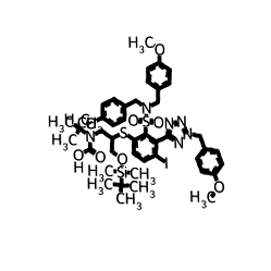 COc1ccc(CN(Cc2ccc(OC)cc2)S(=O)(=O)c2c(SC(CO[Si](C)(C)C(C)(C)C)CN(C(=O)O)C(C)(C)C)ccc(I)c2-c2nnn(Cc3ccc(OC)cc3)n2)cc1